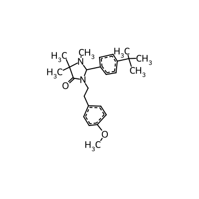 COc1ccc(CCN2C(=O)C(C)(C)N(C)C2c2ccc(C(C)(C)C)cc2)cc1